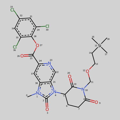 Cn1c(=O)n(C2CCC(=O)N(COCC[Si](C)(C)C)C2=O)c2cnc(C(=O)Oc3c(Cl)cc(Cl)cc3Cl)cc21